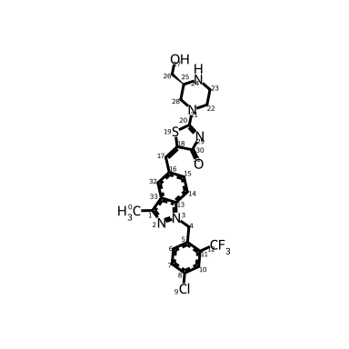 Cc1nn(Cc2ccc(Cl)cc2C(F)(F)F)c2ccc(/C=C3/SC(N4CCN[C@H](CO)C4)=NC3=O)cc12